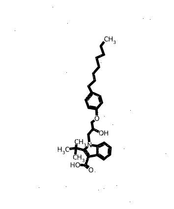 CCCCCCCCc1ccc(OCC(O)Cn2c(C(C)(C)C)c(C(=O)O)c3ccccc32)cc1